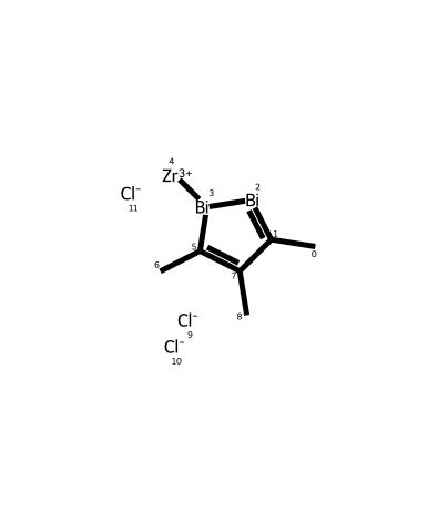 C[C]1=[Bi][Bi]([Zr+3])[C](C)=C1C.[Cl-].[Cl-].[Cl-]